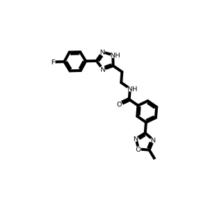 Cc1nc(-c2cccc(C(=O)NCCc3nc(-c4ccc(F)cc4)n[nH]3)c2)no1